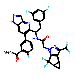 CNC(=O)c1cc(-c2cc3[nH]ncc3nc2C(Cc2cc(F)cc(F)c2)NC(=O)Cn2nc(C(F)F)c3c2C(F)(F)C2CC32)ccc1F